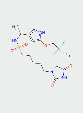 CC(NS(=O)(=O)CCCCCN1CC(=O)NC1=O)c1c[nH]c(OCC(C)(F)F)c1